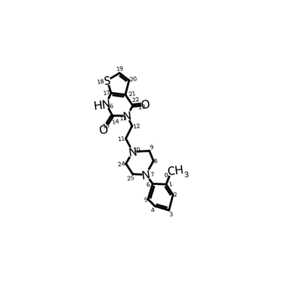 Cc1ccccc1N1CCN(CCn2c(=O)[nH]c3sccc3c2=O)CC1